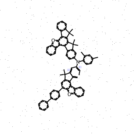 C=C1/C(=C\C(=C/C)N(c2ccc3c(c2)C(C)(C)c2c4c(c5oc6ccccc6c5c2-3)-c2ccccc2C4(C)C)c2ccc(C)cc2C)C(C)(C)c2cc(-c3ccc(-c4ccccc4)cc3)c3oc4ccccc4c3c21